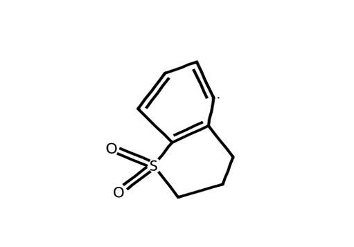 O=S1(=O)CCCc2[c]cccc21